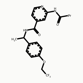 CC(C)C(=O)Nc1cc(C(=O)NC(C)c2ccc(OCC(F)(F)F)cc2)ccn1